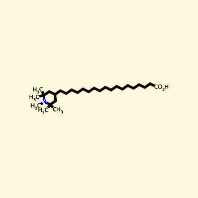 CN1C(C)(C)CC(CCCCCCCCCCCCCCCCCC(=O)O)CC1(C)C